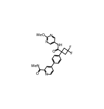 CNC(=O)c1cc(-c2ccc(C3(C(=O)Nc4cnc(OC)nc4)CC(F)(F)C3)cc2)ccn1